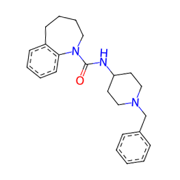 O=C(NC1CCN(Cc2ccccc2)CC1)N1CCCCc2ccccc21